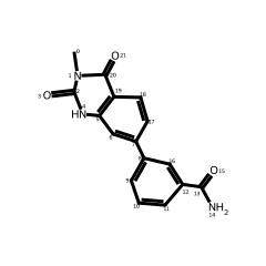 Cn1c(=O)[nH]c2cc(-c3cccc(C(N)=O)c3)ccc2c1=O